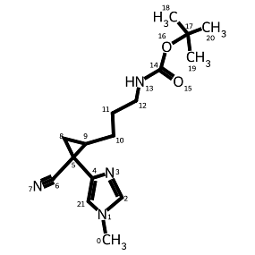 Cn1cnc(C2(C#N)CC2CCCNC(=O)OC(C)(C)C)c1